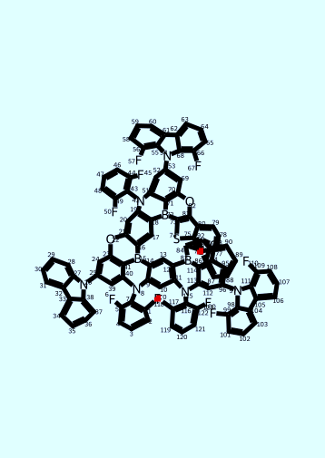 Fc1cccc(F)c1N1c2cc3c(cc2B2c4cc5c(cc4Oc4cc(-n6c7ccccc7c7ccccc76)cc1c42)N(c1c(F)cccc1F)c1cc(-n2c4c(F)cccc4c4cccc(F)c42)cc2c1B5c1sc4ccccc4c1O2)B1c2sc4ccccc4c2Oc2cc(-n4c5c(F)cccc5c5cccc(F)c54)cc(c21)N3c1c(F)cccc1F